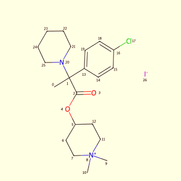 CC(C(=O)OC1CC[N+](C)(C)CC1)(c1ccc(Cl)cc1)N1CCCCC1.[I-]